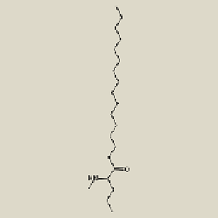 CCCCCCCCCCCCCCCC(=O)C(CCC)NC